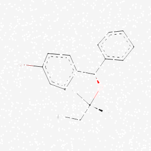 CC(C)C[C@](C)(O[C@H](c1ccccc1)c1ccc(Br)cc1)C(=O)O